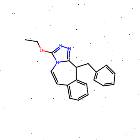 CCOc1nnc2n1C=Cc1ccccc1C2Cc1ccccc1